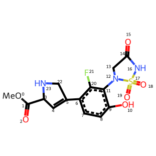 COC(=O)C1C=C(c2ccc(O)c(N3CC(=O)NS3(=O)=O)c2F)CN1